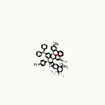 CC(C)(C)c1ccc(N2c3cc(N(c4ccccc4)c4ccccc4)cc4c3B(c3cc(C(C)(C)C)ccc3N4c3ccc(C(C)(C)C)cc3-c3ccccc3)c3c2oc2cc4c(cc32)C(C)(C)CCC4(C)C)cc1